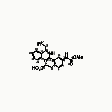 COC(=O)Nc1ccc(CCC(=O)O)c(C(=O)NC(CC(C)C)c2ccccc2)c1